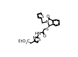 CCOC(=O)Cc1csc(NC(=O)CSC2c3ccccc3C(=O)N2Cc2cccs2)n1